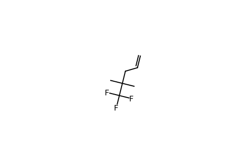 C=CCC(C)(C)C(F)(F)F